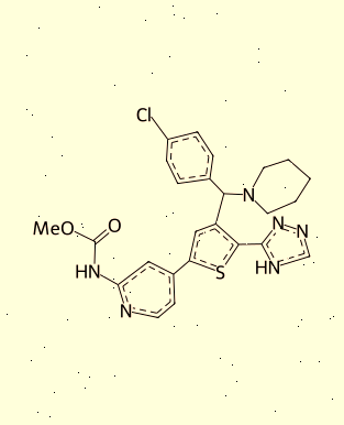 COC(=O)Nc1cc(-c2cc(C(c3ccc(Cl)cc3)N3CCCCC3)c(-c3nnc[nH]3)s2)ccn1